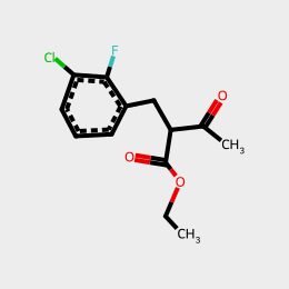 CCOC(=O)C(Cc1cccc(Cl)c1F)C(C)=O